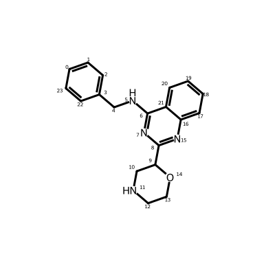 c1ccc(CNc2nc(C3CNCCO3)nc3ccccc23)cc1